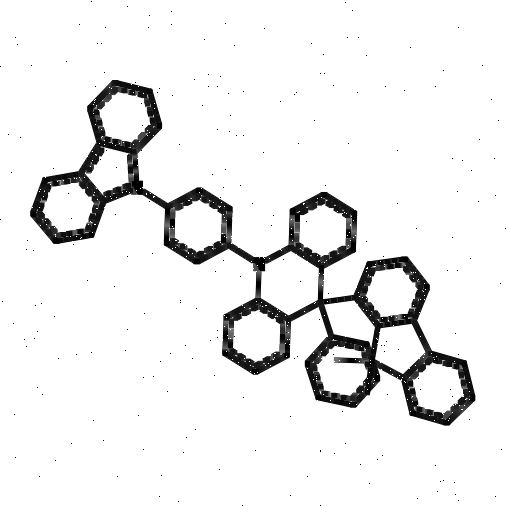 CC1(C)c2ccccc2-c2cccc(C3(c4ccccc4)c4ccccc4N(c4ccc(-n5c6ccccc6c6ccccc65)cc4)c4ccccc43)c21